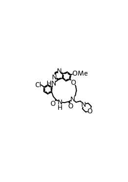 COc1cc2ncnc3c2cc1OCCCN(CCN1CCOCC1)C(=O)CNC(=O)Cc1ccc(Cl)cc1N3